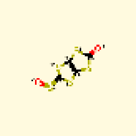 O=S=c1sc2sc(=O)sc2s1